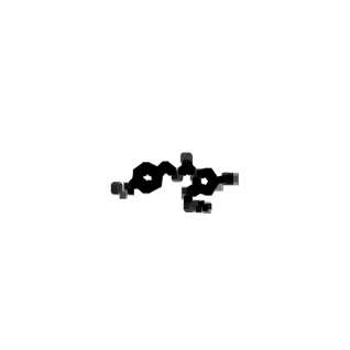 CON=C1C[C@H](S)CN1C(=O)OCc1ccc([N+](=O)[O-])cc1